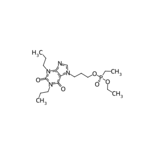 CCCn1c(=O)c2c(ncn2CCCOP(=O)(CC)OCC)n(CCC)c1=O